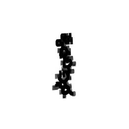 Cc1ccc2c(c1)c(CNCC1CCN(c3ncc(C(=O)NO)cn3)CC1)c(C)n2C